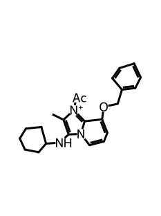 CC(=O)[n+]1c(C)c(NC2CCCCC2)n2cccc(OCc3ccccc3)c21